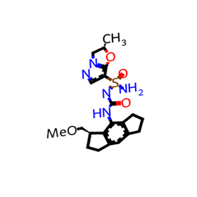 COC[C@@H]1CCc2cc3c(c(NC(=O)N=S(N)(=O)c4cnn5c4O[C@@H](C)C5)c21)CCC3